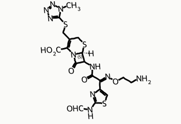 Cn1nnnc1SCC1=C(C(=O)O)N2C(=O)C(NC(=O)C(=NOCCN)c3csc(NC=O)n3)[C@@H]2SC1